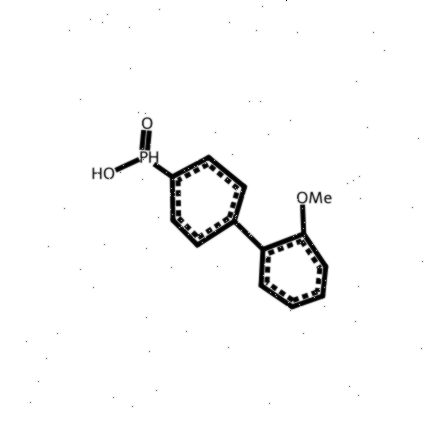 COc1ccccc1-c1ccc([PH](=O)O)cc1